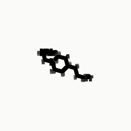 CNCN1CCC(CCC(C)C)CC1